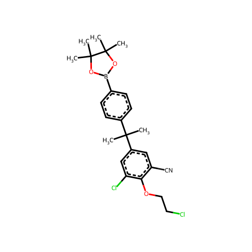 CC(C)(c1ccc(B2OC(C)(C)C(C)(C)O2)cc1)c1cc(Cl)c(OCCCl)c(C#N)c1